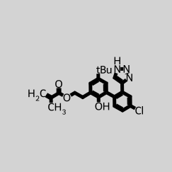 C=C(C)C(=O)OCCc1cc(C(C)(C)C)cc(-c2ccc(Cl)cc2-c2c[nH]nn2)c1O